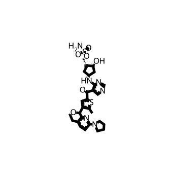 Cc1sc(C(=O)c2cncnc2N[C@@H]2C[C@H](COS(N)(=O)=O)[C@@H](O)C2)cc1C1OCCc2ccc(N3CCCC3)nc21